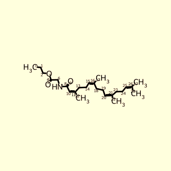 CCCOC(=O)CNC(=O)C=C(C)CCC=C(C)CCC=C(C)CCC=C(C)C